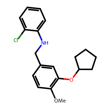 COc1ccc(CNc2ccccc2Cl)cc1OC1CCCC1